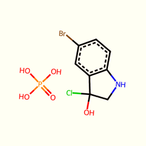 O=P(O)(O)O.OC1(Cl)CNc2ccc(Br)cc21